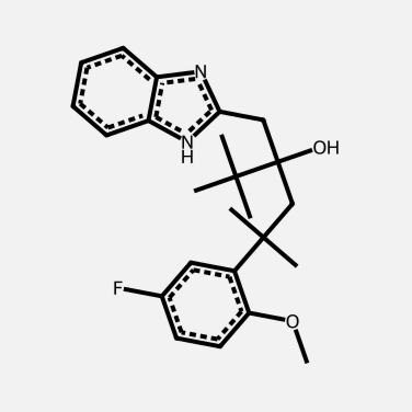 COc1ccc(F)cc1C(C)(C)CC(O)(Cc1nc2ccccc2[nH]1)C(C)(C)C